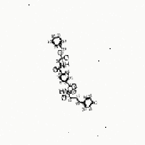 O=C(CNC(=O)c1ccc(C(=O)NS(=O)(=O)CCCc2ccccc2)cn1)OCc1ccccc1